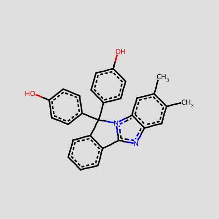 Cc1cc2nc3n(c2cc1C)C(c1ccc(O)cc1)(c1ccc(O)cc1)c1ccccc1-3